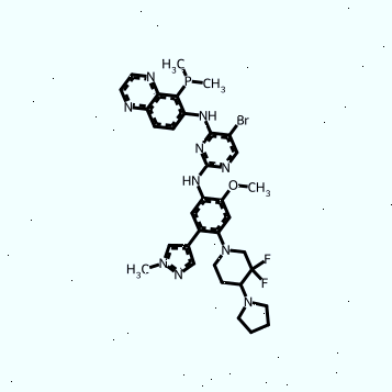 COc1cc(N2CCC(N3CCCC3)C(F)(F)C2)c(-c2cnn(C)c2)cc1Nc1ncc(Br)c(Nc2ccc3nccnc3c2P(C)C)n1